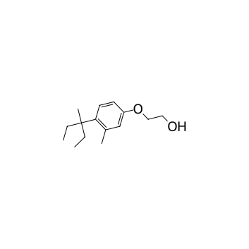 CCC(C)(CC)c1ccc(OCCO)cc1C